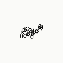 Cc1nocc1-c1ccc(CNC(=O)C2CC(O)CN2C(=O)C(c2cc(C(C)(C)C)no2)C(C)C)cc1